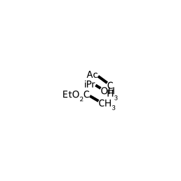 CC(C)=O.CC(C)O.CCOC(C)=O